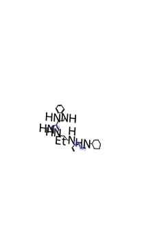 C=C/C(=C\C=C/NC1CCCCC1)NCCC(CC)N/C=C(\C=N)C1CNc2ccccc2N1